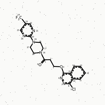 O=C(CCOc1nnc(Cl)c2ccccc12)N1CCN(c2ncc(C(F)(F)F)cn2)CC1